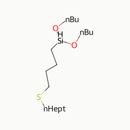 CCCCCCCSCCCC[SiH](OCCCC)OCCCC